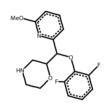 COc1cccc(C(Oc2c(F)cccc2F)C2CNCCO2)n1